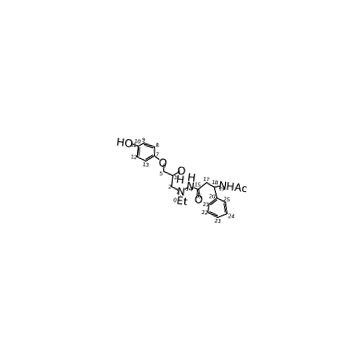 CCN(CC(O)COc1ccc(O)cc1)NC(=O)CC(NC(C)=O)c1ccccc1